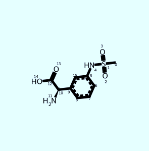 CS(=O)(=O)Nc1cccc([C@@H](N)C(=O)O)c1